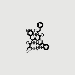 N[C@@H](CS)C(=O)N[C@@H](Cc1ccccc1)C(=O)N[C@@H](Cc1c[nH]c2ccccc12)C(=O)N[C@@H](Cc1ccccc1)C(=O)O